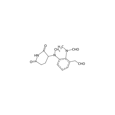 CN(C=O)c1c(CC=O)cccc1N(C)C1CCC(=O)NC1=O